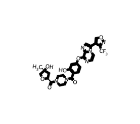 C[C@@]1(O)CO[C@H](C(=O)N2CCN(C(=O)c3ccc(Oc4nccn5c(-c6conc6C(F)(F)F)cnc45)cc3O)CC2)C1